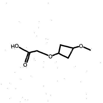 COC1CC(OCC(=O)O)C1